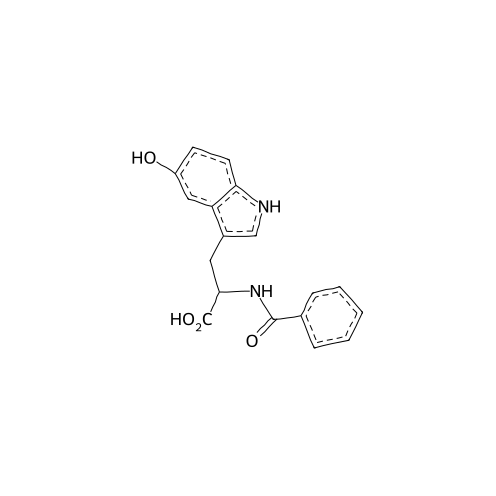 O=C(NC(Cc1c[nH]c2ccc(O)cc12)C(=O)O)c1ccccc1